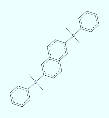 C[Si](C)(c1ccccc1)c1ccc2cc([Si](C)(C)c3ccccc3)ccc2c1